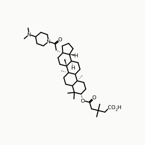 CN(C)C1CCN(C(=O)C[C@]23CCC[C@@H]2[C@H]2CCC4[C@@]5(C)CC[C@H](OC(=O)CC(C)(C)CC(=O)O)C(C)(C)C5CC[C@@]4(C)[C@]2(C)CC3)CC1